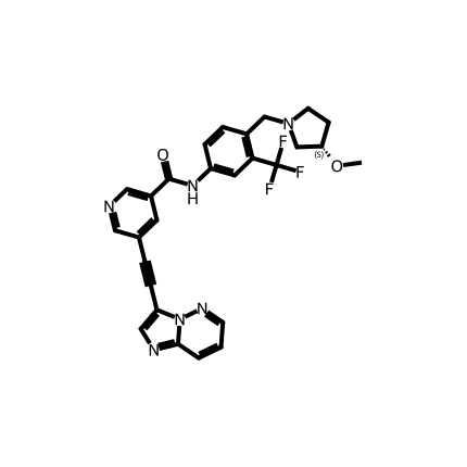 CO[C@H]1CCN(Cc2ccc(NC(=O)c3cncc(C#Cc4cnc5cccnn45)c3)cc2C(F)(F)F)C1